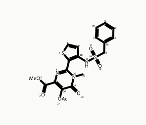 COC(=O)c1nc(-c2sccc2NS(=O)(=O)Cc2ccccc2)n(C)c(=O)c1OC(C)=O